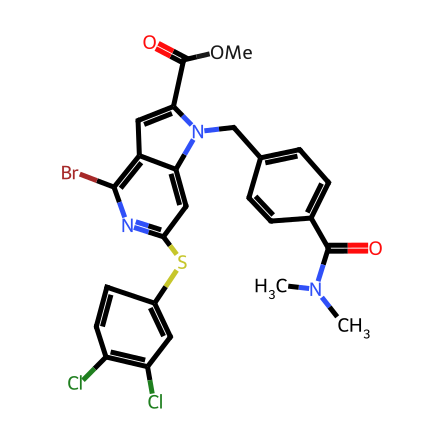 COC(=O)c1cc2c(Br)nc(Sc3ccc(Cl)c(Cl)c3)cc2n1Cc1ccc(C(=O)N(C)C)cc1